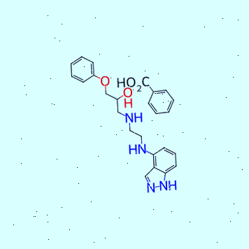 O=C(O)c1ccccc1.OC(CNCCNc1cccc2[nH]ncc12)COc1ccccc1